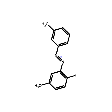 Cc1cccc(/N=N/c2cc(C)ccc2F)c1